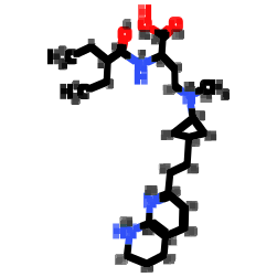 CCC(CC)C(=O)NC(CCN(C)C1CC(CCc2ccc3c(n2)NCCC3)C1)C(=O)O